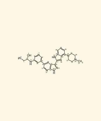 CC(C)CC(O)Nc1cncc(-c2cnc3[nH]nc(-c4nc5c(N6CCN(C)CC6)cccc5[nH]4)c3c2)c1